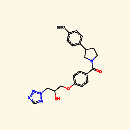 COc1ccc(C2CCN(C(=O)c3ccc(OCC(O)Cn4ncnn4)cc3)C2)cc1